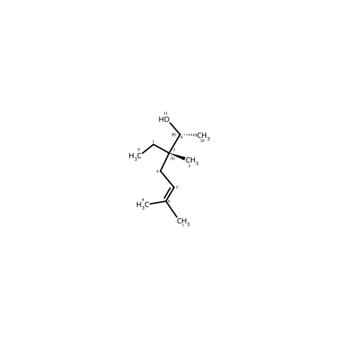 CC[C@@](C)(CC=C(C)C)[C@@H](C)O